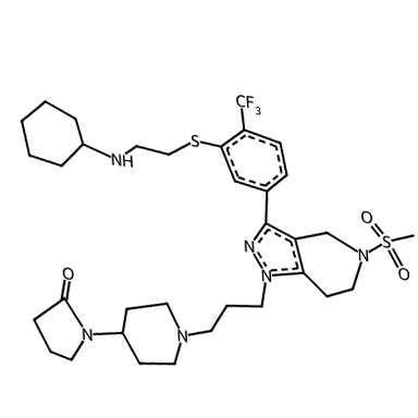 CS(=O)(=O)N1CCc2c(c(-c3ccc(C(F)(F)F)c(SCCNC4CCCCC4)c3)nn2CCCN2CCC(N3CCCC3=O)CC2)C1